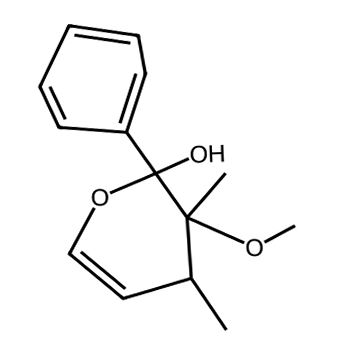 COC1(C)C(C)C=COC1(O)c1ccccc1